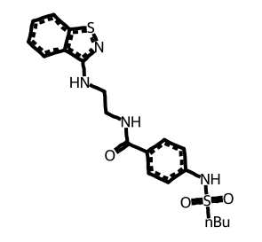 CCCCS(=O)(=O)Nc1ccc(C(=O)NCCNc2nsc3ccccc23)cc1